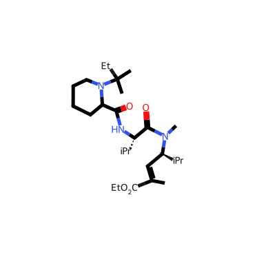 CCOC(=O)/C(C)=C/[C@H](C(C)C)N(C)C(=O)[C@@H](NC(=O)C1CCCCN1C(C)(C)CC)C(C)C